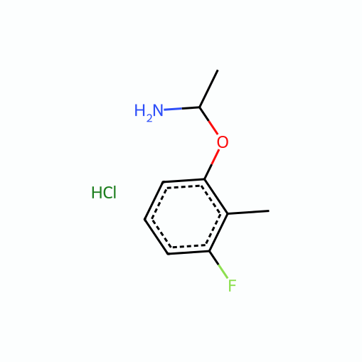 Cc1c(F)cccc1OC(C)N.Cl